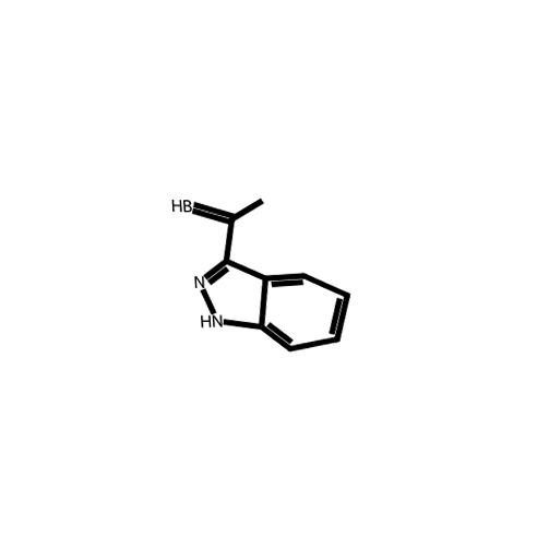 B=C(C)c1n[nH]c2ccccc12